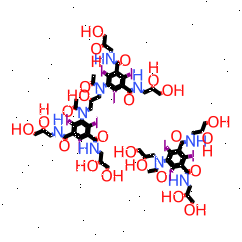 CC(=O)N(CC(O)CN(C(C)=O)c1c(I)c(C(=O)NCC(O)CO)c(I)c(C(=O)NCC(O)CO)c1I)c1c(I)c(C(=O)NCC(O)CO)c(I)c(C(=O)NCC(O)CO)c1I.CC(=O)N(CC(O)CO)c1c(I)c(C(=O)NCC(O)CO)c(I)c(C(=O)NCC(O)CO)c1I